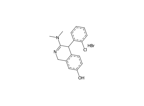 Br.CN(C)C1=NCc2cc(O)ccc2C1c1ccccc1Cl